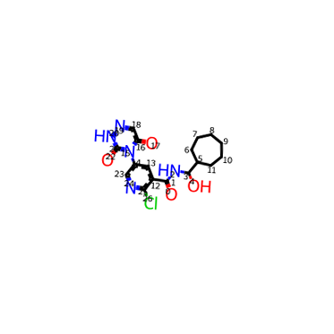 O=C(NC(O)C1CCCCCC1)c1cc(-n2c(=O)cn[nH]c2=O)cnc1Cl